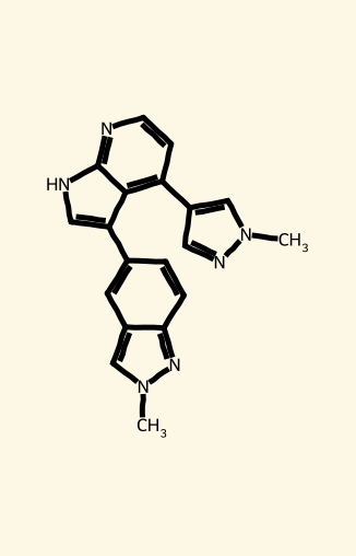 Cn1cc(-c2ccnc3[nH]cc(-c4ccc5nn(C)cc5c4)c23)cn1